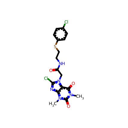 Cn1c(=O)c2c(nc(Cl)n2CC(=O)NCCSc2ccc(Cl)cc2)n(C)c1=O